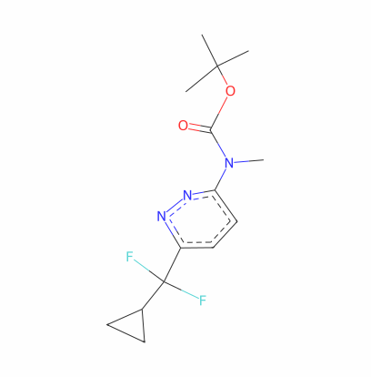 CN(C(=O)OC(C)(C)C)c1ccc(C(F)(F)C2CC2)nn1